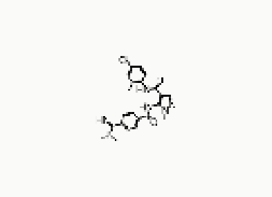 Cc1cc(Cl)ccc1NC(=O)c1cnn(C)c1NC(=O)c1ccc(C(=N)N(C)C)cc1